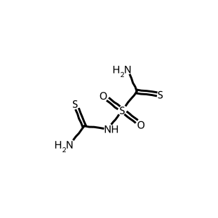 NC(=S)NS(=O)(=O)C(N)=S